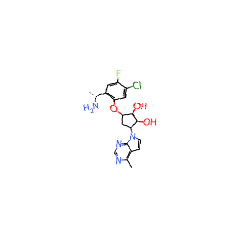 Cc1ncnc2c1ccn2C1CC(Oc2cc(Cl)c(F)cc2[C@@H](C)N)[C@@H](O)[C@H]1O